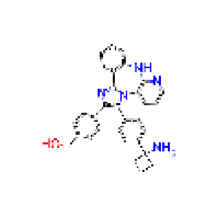 NC1(c2ccc(-c3c(-c4ccc(CO)cc4)nc4n3-c3cccnc3Nc3ccccc3-4)cc2)CCC1